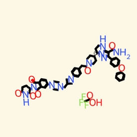 NC(=O)c1c(-c2ccc(Oc3ccccc3)cc2)nn2c1NCC[C@H]2C1CCN(C(=O)Cc2ccc(N3CC(CN4CCN(c5ccc6c(c5)C(=O)N(C5CCC(=O)NC5=O)C6=O)CC4)C3)cc2)CC1.O=C(O)C(F)(F)F